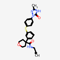 C#CCNC(=O)C1(c2cccc(Sc3ccc(-n4nc(C)[nH]c4=O)cc3)c2)CCOCC1